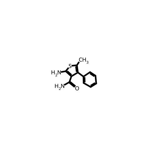 Cc1sc(N)c(C(N)=O)c1-c1ccccc1